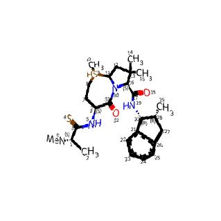 CN[C@@H](C)C(=S)N[C@H]1CC[SH](C)C2CC(C)(C)[C@@H](C(=O)N[C@H]3c4ccccc4C[C@H]3C)N2C1=O